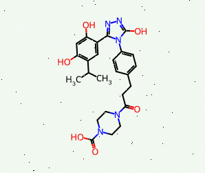 CC(C)c1cc(-c2nnc(O)n2-c2ccc(CCC(=O)N3CCN(C(=O)O)CC3)cc2)c(O)cc1O